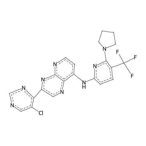 FC(F)(F)c1ccc(Nc2ccnc3nc(-c4ncncc4Cl)cnc23)nc1N1CCCC1